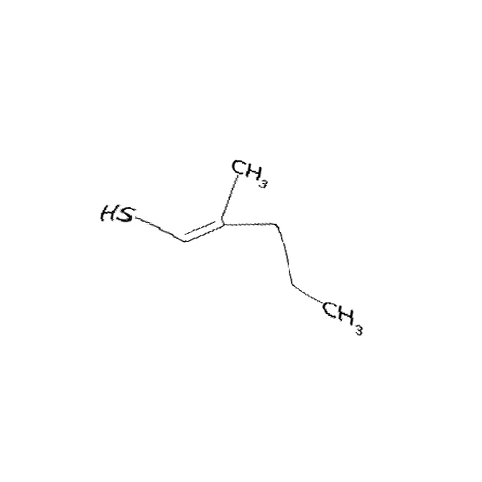 CCCC(C)=CS